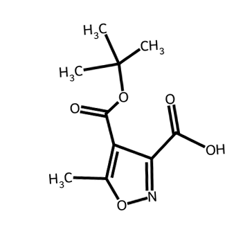 Cc1onc(C(=O)O)c1C(=O)OC(C)(C)C